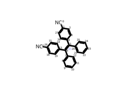 N#Cc1ccc(/C(=C(/c2ccccc2)c2ccc(C#N)cc2)c2ccccc2)cc1